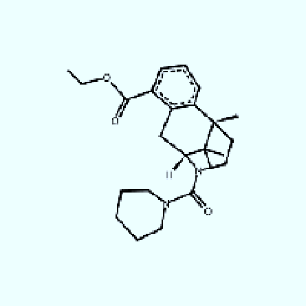 CCOC(=O)c1cccc2c1C[C@H]1N(C(=O)N3CCCCC3)CC[C@]2(C)C1(C)C